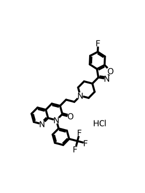 Cl.O=c1c(CCN2CCC(c3noc4cc(F)ccc34)CC2)cc2cccnc2n1-c1cccc(C(F)(F)F)c1